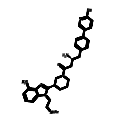 CC(=O)NCCn1c([C@@H]2CCCN(C(=O)C[C@H](N)Cc3ccc(-c4ccc(O)nc4)cc3)C2)nc2c(C)cccc21